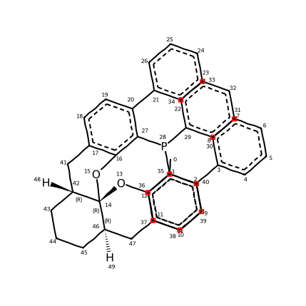 Cc1c(-c2ccccc2)ccc2c1O[C@]13Oc4c(ccc(-c5ccccc5)c4P(c4ccccc4)c4ccccc4)C[C@H]1CCC[C@@H]3C2